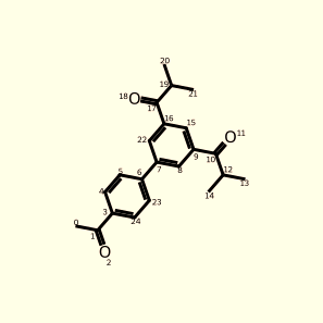 CC(=O)c1ccc(-c2cc(C(=O)C(C)C)cc(C(=O)C(C)C)c2)cc1